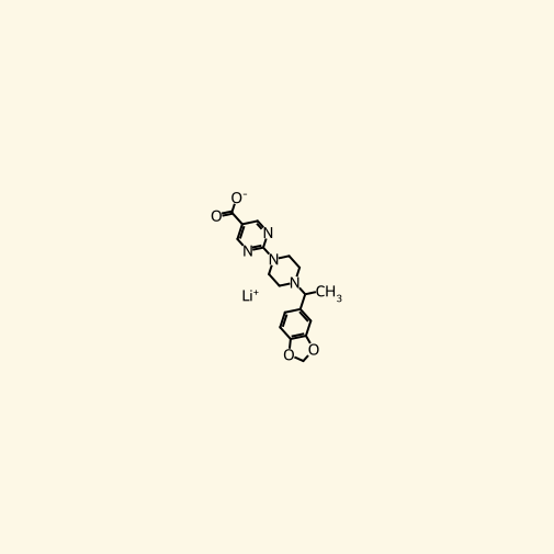 CC(c1ccc2c(c1)OCO2)N1CCN(c2ncc(C(=O)[O-])cn2)CC1.[Li+]